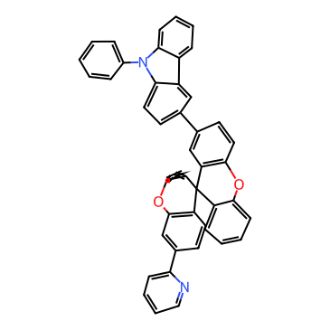 c1ccc(-n2c3ccccc3c3cc(-c4ccc5c(c4)C4(c6ccccc6Oc6cc(-c7ccccn7)ccc64)c4ccccc4O5)ccc32)cc1